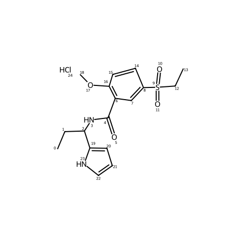 CCC(NC(=O)c1cc(S(=O)(=O)CC)ccc1OC)c1ccc[nH]1.Cl